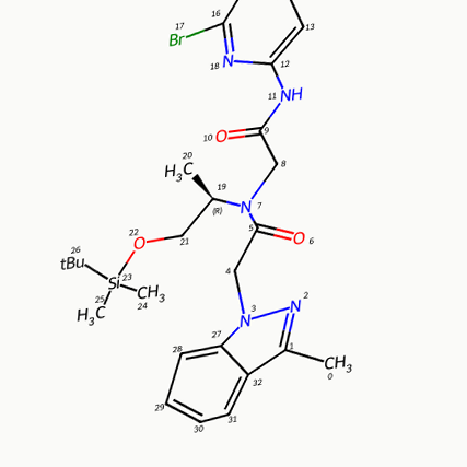 Cc1nn(CC(=O)N(CC(=O)Nc2cccc(Br)n2)[C@H](C)CO[Si](C)(C)C(C)(C)C)c2ccccc12